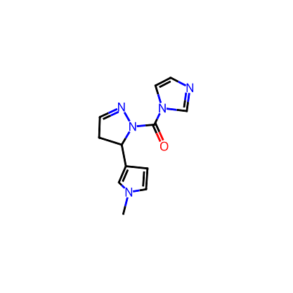 Cn1ccc(C2CC=NN2C(=O)n2ccnc2)c1